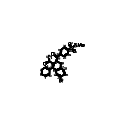 CCC(=O)C1=C(c2ccccc2)c2cc(Br)ccc2CN1C(=O)c1ccc(S(=O)(=O)NC)cc1